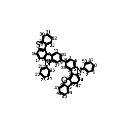 c1ccc(-n2c3ccc(-c4ccc5c6c7c(ccc6n(-c6ccccc6)c5c4)sc4ccccc47)cc3c3c4oc5ccccc5c4ccc32)cc1